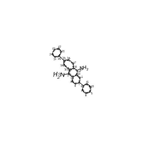 Nc1c2ccc(-c3ccccc3)cc2c(N)c2ccc(-c3ccccc3)cc12